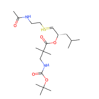 CC(=O)NCC[SH]=C[C@H](CC(C)C)OC(=O)C(C)(C)CNC(=O)OC(C)(C)C